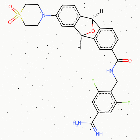 N=C(N)c1cc(F)c(CNC(=O)c2ccc3c(c2)[C@@H]2O[C@H]3c3ccc(N4CCS(=O)(=O)CC4)cc32)c(F)c1